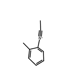 CC#[N+]c1ccccc1C